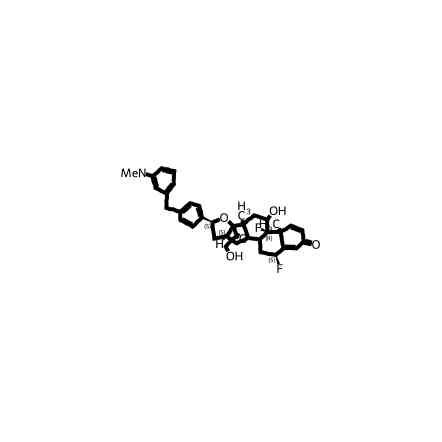 CNc1cccc(Cc2ccc([C@@H]3C[C@@H]4CC5C6C[C@H](F)C7=CC(=O)C=CC7(C)[C@@]6(F)C(O)CC5(C)C4(C(=O)CO)O3)cc2)c1